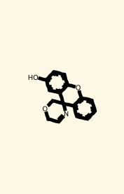 Oc1ccc2c(c1)C1(COCC=N1)c1ccccc1O2